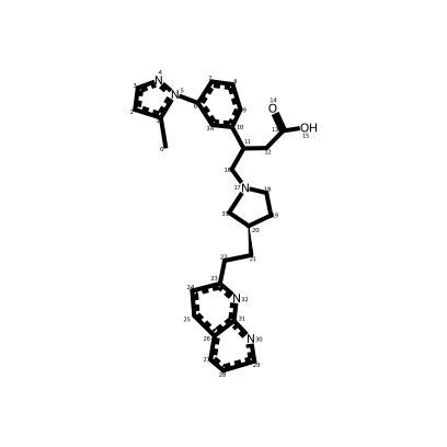 Cc1ccnn1-c1cccc(C(CC(=O)O)CN2CC[C@@H](CCc3ccc4cccnc4n3)C2)c1